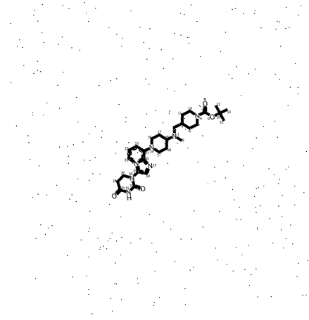 CN(CC1CCN(C(=O)OC(C)(C)C)CC1)C1CCN(c2cccn3c(N4CCC(=O)NC4=O)cnc23)CC1